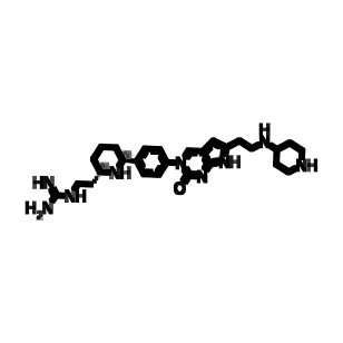 N=C(N)NCC[C@@H]1CCC[C@@H](c2ccc(-n3cc4cc(CCNC5CCNCC5)[nH]c4nc3=O)cc2)N1